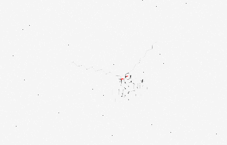 CCCCCCCCCCCCS(=O)(=O)N1C(=O)N(P(=O)=O)C(=O)C2=NC(=O)NC21CC(C)OCCCCCCCCCC